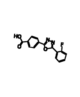 O=C(O)c1ccc(-c2nnc(-c3ccccc3F)o2)cc1